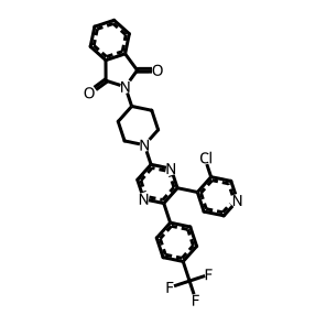 O=C1c2ccccc2C(=O)N1C1CCN(c2cnc(-c3ccc(C(F)(F)F)cc3)c(-c3ccncc3Cl)n2)CC1